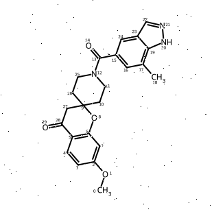 COc1ccc2c(c1)OC1(CCN(C(=O)c3cc(C)c4[nH]ncc4c3)CC1)CC2=O